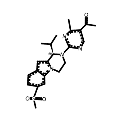 CC(=O)c1cnc(N2CCn3c(cc4ccc(S(C)(=O)=O)cc43)[C@H]2C(C)C)nc1C